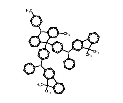 Cc1ccc(N2c3ccccc3C(c3ccc(N(c4ccccc4)c4ccc5c(c4)C(C)(C)c4ccccc4-5)cc3)(c3ccc(N(c4ccccc4)c4ccc5c(c4)C(C)(C)c4ccccc4-5)cc3)c3cc(C)ccc32)cc1